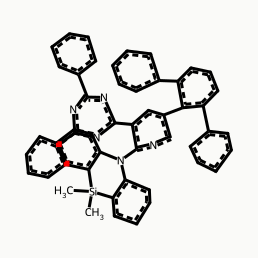 C[Si]1(C)c2ccccc2N(c2ncc(-c3c(-c4ccccc4)cccc3-c3ccccc3)cc2-c2nc(-c3ccccc3)nc(-c3ccccc3)n2)c2ccccc21